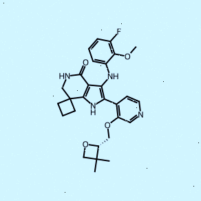 COc1c(F)cccc1Nc1c(-c2ccncc2OC[C@H]2OCC2(C)C)[nH]c2c1C(=O)NCC21CCC1